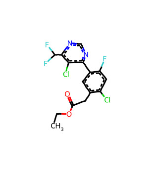 CCOC(=O)Cc1cc(-c2ncnc(C(F)F)c2Cl)c(F)cc1Cl